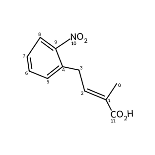 CC(=CCc1ccccc1[N+](=O)[O-])C(=O)O